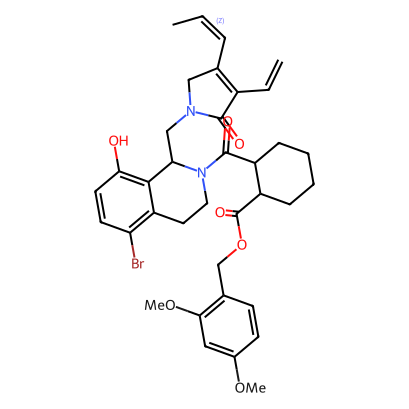 C=CC1=C(/C=C\C)CN(CC2c3c(O)ccc(Br)c3CCN2C(=O)C2CCCCC2C(=O)OCc2ccc(OC)cc2OC)C1=O